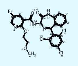 COCCOc1ncc(F)cc1C(=O)N[C@@H]1N=C(c2c(Cl)cc(Cl)cc2Cl)c2ccccc2NC1=O